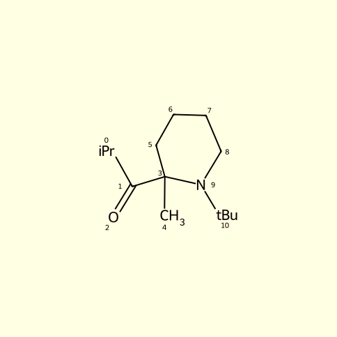 CC(C)C(=O)C1(C)CCCCN1C(C)(C)C